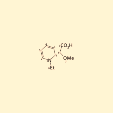 CCN1C=CC=CC1.COCC(=O)O